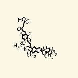 COc1cc2c(cc1C(O)CCOc1c(OC)cc3sc(C(=O)CCC(=O)O)cc3c1F)CN(C(=O)OC(C)(C)C)C2